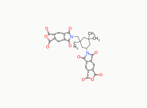 CC1(C)CC(n2c(=O)c3cc4c(=O)oc(=O)c4cc3c2=O)CC(C)(Cn2c(=O)c3cc4c(=O)oc(=O)c4cc3c2=O)C1